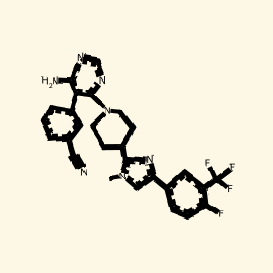 Cn1cc(-c2ccc(F)c(C(F)(F)F)c2)nc1C1CCN(c2ncnc(N)c2-c2cccc(C#N)c2)CC1